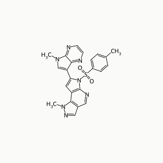 Cc1ccc(S(=O)(=O)n2c(-c3cn(C)c4nccnc34)cc3c4c(cnc32)cnn4C)cc1